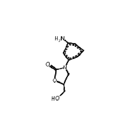 Nc1cccc(N2CC(CO)OC2=O)c1